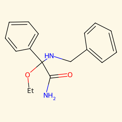 CCOC(NCc1ccccc1)(C(N)=O)c1ccccc1